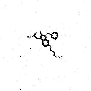 CCOC(=O)CCCOc1ccc2c(CC(N)=O)c(C)n(Cc3ccccc3)c2c1